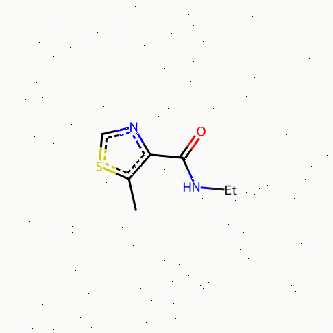 CCNC(=O)c1ncsc1C